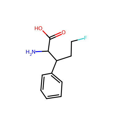 NC(C(=O)O)C(CCF)c1ccccc1